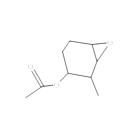 CC(=O)OC1CCC2OC2C1C